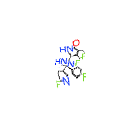 CCc1c(C(F)F)c(C2=N[C@](c3ccc(F)cc3)(c3ccc(F)nc3)[C@H](C)N2)c[nH]c1=O